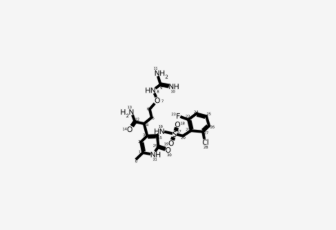 Cc1cc(C(CCONC(=N)N)C(N)=O)c(NS(=O)(=O)Cc2c(F)cccc2Cl)c(=O)[nH]1